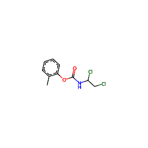 Cc1ccccc1OC(=O)NC(Cl)CCl